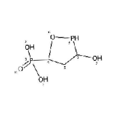 O=P(O)(O)C1CC(O)PO1